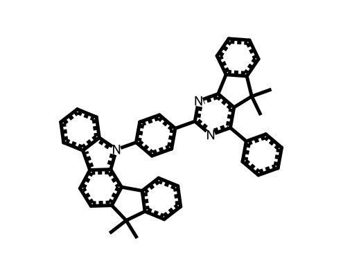 CC1(C)c2ccccc2-c2c1ccc1c3ccccc3n(-c3ccc(-c4nc(-c5ccccc5)c5c(n4)-c4ccccc4C5(C)C)cc3)c21